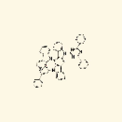 c1ccc(-c2cccc(-n3c4ccccc4c4cc5c(c(-n6c7ccccc7c7ccccc76)c43)c3ccccc3n5-c3nc(-c4ccccc4)nc(-c4ccccc4)n3)c2)cc1